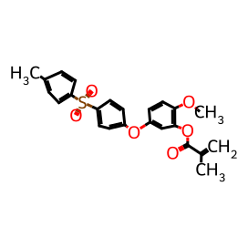 C=C(C)C(=O)Oc1cc(Oc2ccc(S(=O)(=O)c3ccc(C)cc3)cc2)ccc1OC